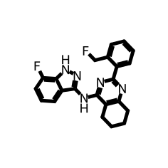 FCc1ccccc1-c1nc2c(c(Nc3n[nH]c4c(F)cccc34)n1)CCCC2